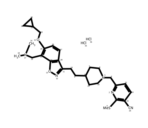 CSc1nc(CN2CCC(CCc3noc4c(CN(C)C)c(OCC5CC5)ccc34)CC2)ccc1C#N.Cl.Cl